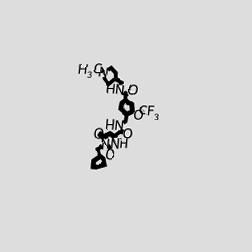 CN1CCC(CNC(=O)c2ccc(CNC(=O)c3cc(=O)n(Cc4ccccc4)c(=O)[nH]3)c(OC(F)(F)F)c2)CC1